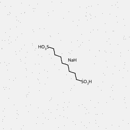 O=S(=O)(O)CCCCCCCCS(=O)(=O)O.[NaH]